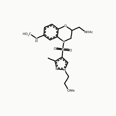 COCCn1cc(S(=O)(=O)N2CC(CNC(C)=O)Oc3ccc(NC(=O)O)cc32)c(C)n1